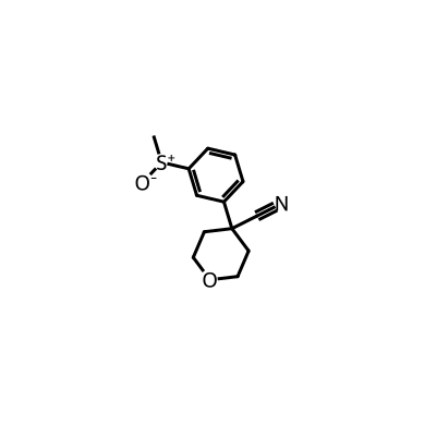 C[S+]([O-])c1cccc(C2(C#N)CCOCC2)c1